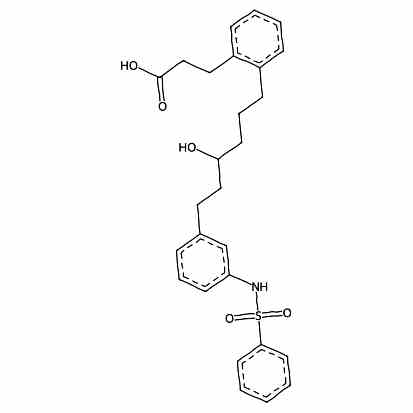 O=C(O)CCc1ccccc1CCCC(O)CCc1cccc(NS(=O)(=O)c2ccccc2)c1